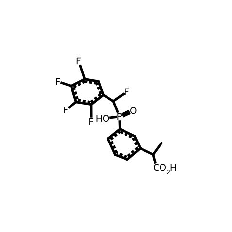 CC(C(=O)O)c1cccc(P(=O)(O)C(F)c2cc(F)c(F)c(F)c2F)c1